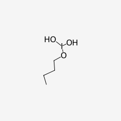 CCCCOI(O)O